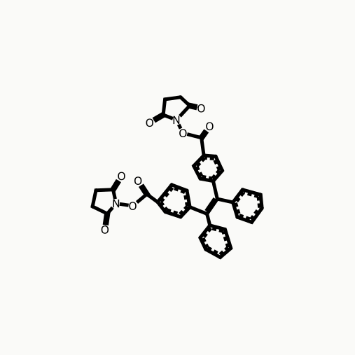 O=C(ON1C(=O)CCC1=O)c1ccc(C(=C(c2ccccc2)c2ccc(C(=O)ON3C(=O)CCC3=O)cc2)c2ccccc2)cc1